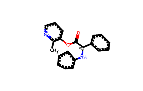 [CH2]c1ncccc1OC(=O)[C@H](Nc1ccccc1)c1ccccc1